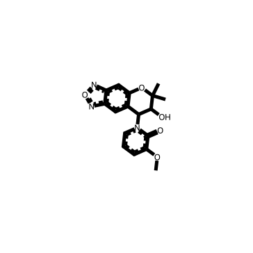 COc1cccn(C2c3cc4nonc4cc3OC(C)(C)C2O)c1=O